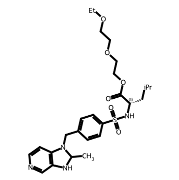 CCOCCOCCOC(=O)[C@H](CC(C)C)NS(=O)(=O)c1ccc(CN2c3ccncc3NC2C)cc1